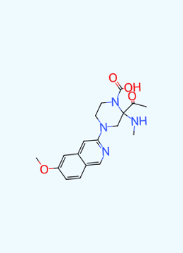 CNC1(C(C)=O)CN(c2cc3cc(OC)ccc3cn2)CCN1C(=O)O